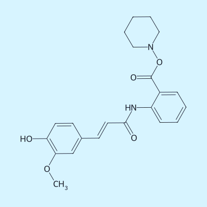 COc1cc(/C=C/C(=O)Nc2ccccc2C(=O)ON2CCCCC2)ccc1O